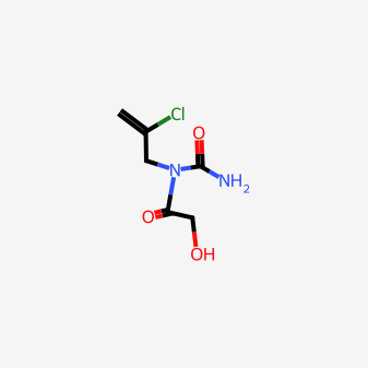 C=C(Cl)CN(C(N)=O)C(=O)CO